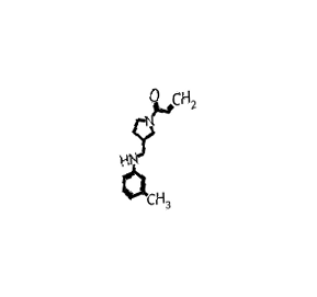 C=CC(=O)N1CCC(CNc2cccc(C)c2)C1